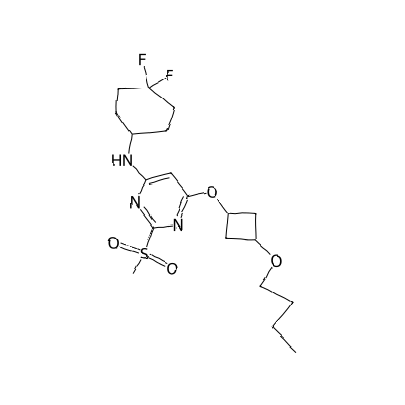 CCCCOC1CC(Oc2cc(NC3CCC(F)(F)CC3)nc(S(C)(=O)=O)n2)C1